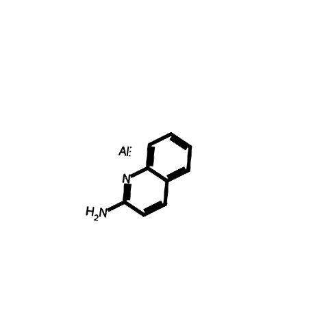 Nc1ccc2ccccc2n1.[Al]